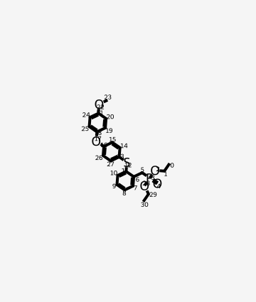 CCOP(=O)(Cc1ccccc1Sc1ccc(Oc2ccc(OC)cc2)cc1)OCC